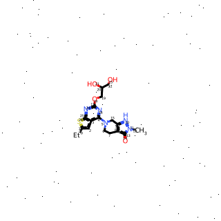 CCc1cc2c(N3CCc4c([nH]n(C)c4=O)C3)nc(OCC(O)CO)nc2s1